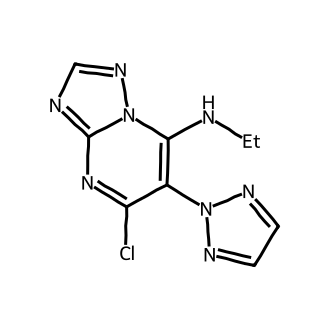 CCNc1c(-n2nccn2)c(Cl)nc2ncnn12